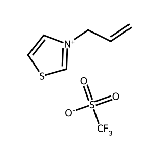 C=CC[n+]1ccsc1.O=S(=O)([O-])C(F)(F)F